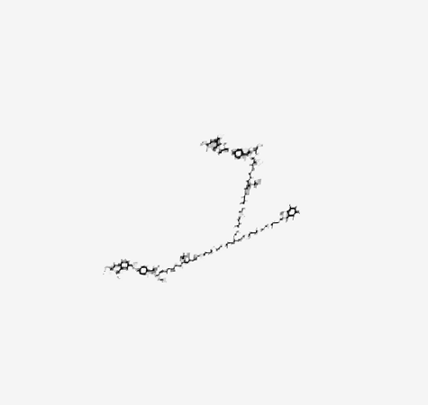 Cc1c(F)c(F)c(F)c(OC(=O)CCOCCOCCOCCN(CCOCCOCCOCCN/C=C(/CCCCNC(=O)[C@H](CCC(=O)O)NC(=O)c2ccc(NCc3cnc4nc(N)[nH]c(=O)c4n3)cc2)N=N)CCOCCOCCOCCN/C=C(/CCCCNC(=O)[C@H](CCC(=O)O)NC(=O)c2ccc(NCc3cnc4nc(N)[nH]c(=O)c4n3)cc2)N=N)c1F